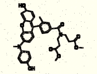 COC(=O)CCN(CCC(=O)OC)C(=O)c1ccc(C2=C3C=CC(O)C=C3Oc3cc(N(C)c4ccc(O)cc4)ccc32)c(C)c1